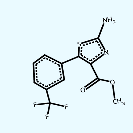 COC(=O)c1nc(N)sc1-c1cccc(C(F)(F)F)c1